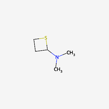 CN(C)C1CCS1